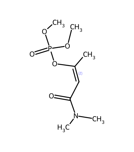 COP(=O)(OC)O/C(C)=C\C(=O)N(C)C